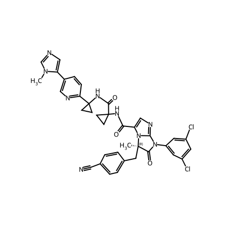 Cn1cncc1-c1ccc(C2(NC(=O)C3(NC(=O)c4cnc5n4[C@](C)(Cc4ccc(C#N)cc4)C(=O)N5c4cc(Cl)cc(Cl)c4)CC3)CC2)nc1